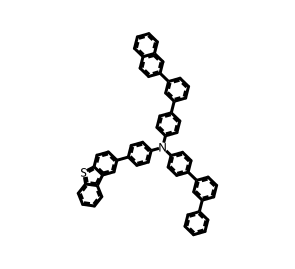 c1ccc(-c2cccc(-c3ccc(N(c4ccc(-c5cccc(-c6ccc7ccccc7c6)c5)cc4)c4ccc(-c5ccc6sc7ccccc7c6c5)cc4)cc3)c2)cc1